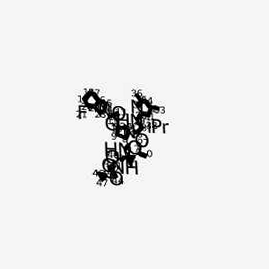 C=C[C@@H]1C[C@]1(NC(=O)[C@@H]1C[C@@H](OC(=O)N2Cc3cccc(F)c3C2)CN1C(=O)[C@H](Nc1cc(C)cc(C)n1)C(C)C)C(=O)NS(=O)(=O)C1CC1